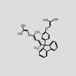 C/C(=C\C=C(/C)C1(c2ccc(OC=C(O)O)cc2)c2ccccc2-c2ccccc21)OC=C(O)O